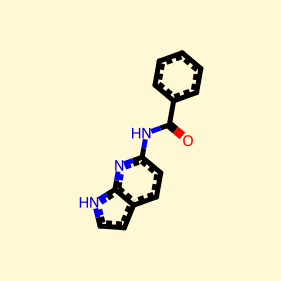 O=C(Nc1ccc2cc[nH]c2n1)c1ccccc1